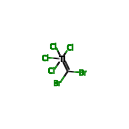 [Cl][Ti]([Cl])([Cl])([Cl])=[C](Br)Br